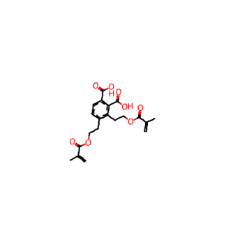 C=C(C)C(=O)OCCc1ccc(C(=O)O)c(C(=O)O)c1CCOC(=O)C(=C)C